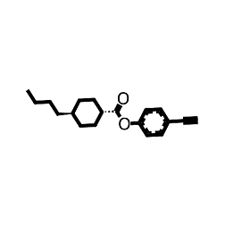 C#Cc1ccc(OC(=O)[C@H]2CC[C@H](CCCC)CC2)cc1